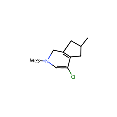 CSN1C=C(Cl)C2=C(CC(C)C2)C1